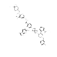 COc1nc2[nH]cc(F)c2cc1Oc1cc(N2CC3(C2)CN(C2CCN(Cc4ccc(F)c(F)c4)CC2c2ccccc2C(C)C)C3)ccc1C(=O)NS(=O)(=O)c1cnc(NCC2CCC(C)(O)CC2)c([N+](=O)[O-])c1